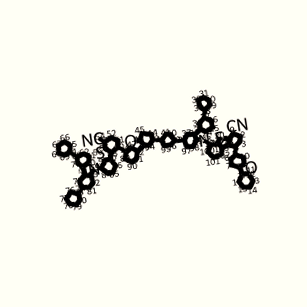 N#Cc1ccc(-c2ccc3c(c2)oc2ccccc23)c2c1sc1c(-n3c4ccc(-c5ccccc5)cc4c4cc(-c5ccc(-c6ccc7oc8c(-c9ccc(C#N)c%10sc%11c(-n%12c%13ccc(-c%14ccccc%14)cc%13c%13cc(-c%14ccccc%14)ccc%13%12)cccc%11c9%10)cccc8c7c6)cc5)ccc43)cccc12